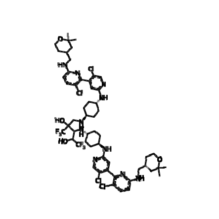 CC1(C)CC(CNc2ccc(Cl)c(-c3cc(N[C@H]4CC[C@H](NCC(O)(C(N[C@H]5CC[C@H](Nc6cc(-c7nc(NCC8CCOC(C)(C)C8)ccc7Cl)c(Cl)cn6)CC5)C(O)C(F)(F)F)C(F)(F)F)CC4)ncc3Cl)n2)CCO1